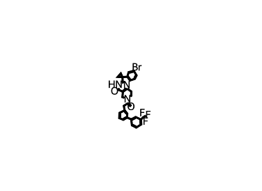 O=C(Cc1cccc(-c2cccc(C(F)(F)F)c2)c1)N1CCc2nc(C3(c4cccc(Br)c4)CC3)[nH]c(=O)c2C1